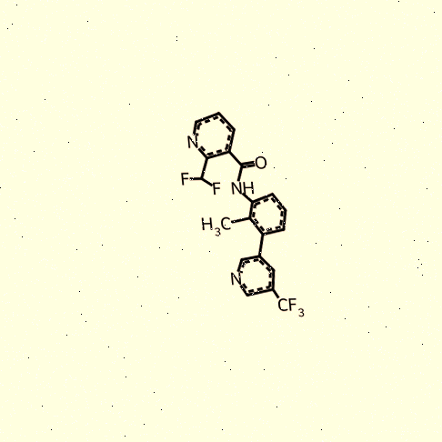 Cc1c(NC(=O)c2cccnc2C(F)F)cccc1-c1cncc(C(F)(F)F)c1